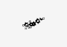 O=C1CCN(C2C(=O)c3ccc(N4CCN(CCCl)CC4)cc3C2=O)C(=O)N1